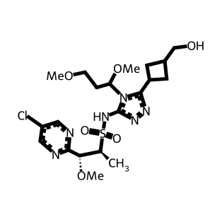 COCCC(OC)n1c(NS(=O)(=O)[C@@H](C)[C@H](OC)c2ncc(Cl)cn2)nnc1C1CC(CO)C1